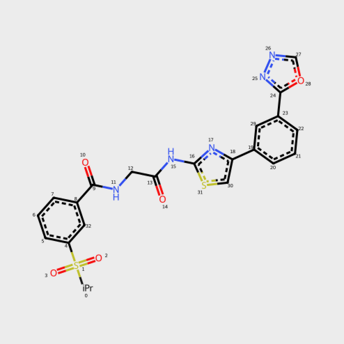 CC(C)S(=O)(=O)c1cccc(C(=O)NCC(=O)Nc2nc(-c3cccc(-c4nnco4)c3)cs2)c1